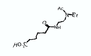 CCN(CCNC(=O)CCCCC(=O)O)C(C)=O